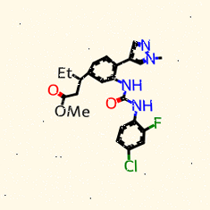 CCC(CC(=O)OC)c1ccc(-c2cnn(C)c2)c(NC(=O)Nc2ccc(Cl)cc2F)c1